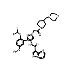 CC(C)Sc1ccc(OC(F)F)c(-c2nn(CC(=O)N3CCC(CN4CCOCC4)CC3)cc2NC(=O)c2cnn3cccnc23)c1